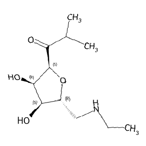 CCNC[C@H]1O[C@H](C(=O)C(C)C)[C@H](O)[C@@H]1O